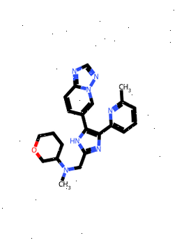 Cc1cccc(-c2nc(CN(C)C3CCCOC3)[nH]c2-c2ccc3ncnn3c2)n1